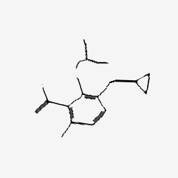 CC(C)Oc1c(CC2CC2)ccc(F)c1C(N)=O